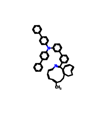 C\C1=C/C=C\C=C\N=C(\c2cccc(-c3cccc(N(c4ccc(-c5ccccc5)cc4)c4ccc(-c5ccccc5)cc4)c3)c2)C2=C(CC/C=C/C=C\2)CC1